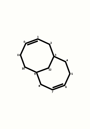 C1=CCC2CCC=CCC(CC1)C2